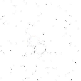 COCc1nc2c(OC)cc([C]=O)cc2o1